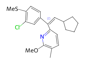 COc1nc(/C(=C\C2CCCC2)c2ccc(SC)c(Cl)c2)ccc1C